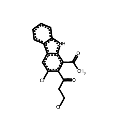 CC(=O)c1c(C(=O)CCCl)c(Cl)cc2c1[nH]c1ccccc12